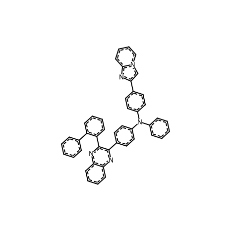 c1ccc(-c2ccccc2-c2nc3ccccc3nc2-c2ccc(N(c3ccccc3)c3ccc(-c4cn5ccccc5n4)cc3)cc2)cc1